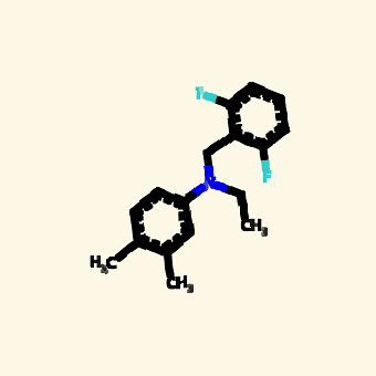 CCN(Cc1c(F)cccc1F)c1ccc(C)c(C)c1